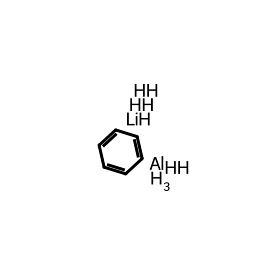 [AlH3].[HH].[HH].[HH].[LiH].c1ccccc1